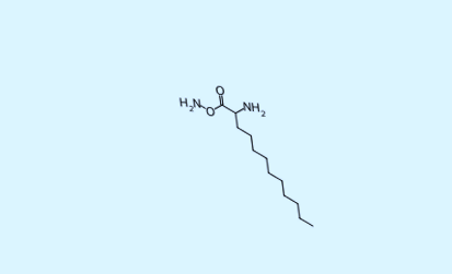 CCCCCCCCCCC(N)C(=O)ON